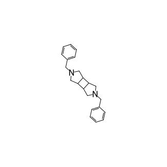 c1ccc(CN2CC3C(C2)C2CN(Cc4ccccc4)CC32)cc1